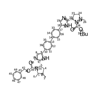 CC1[C@H](C)C[C@@H](c2ncc(-c3ccc(-c4ccc(-c5cnc([C@@H]6CCN(C)N6C(=O)OC(C)(C)C)[nH]5)cc4)cc3)[nH]2)N1C(=O)OCc1ccccc1